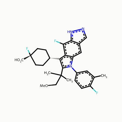 COCC(C)(C)c1c([C@H]2CC[C@](F)(C(=O)O)CC2)c2c(F)c3[nH]ncc3cc2n1-c1ccc(F)c(C)c1